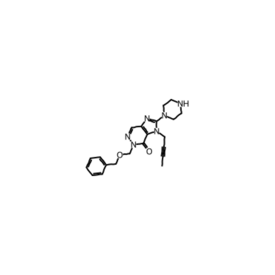 CC#CCn1c(N2CCNCC2)nc2cnn(COCc3ccccc3)c(=O)c21